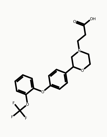 O=C(O)CCN1CCOC(c2ccc(Oc3ccccc3OC(F)(F)F)cc2)C1